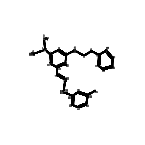 CCCN(CCC)c1cc(OCCc2ccccn2)nc(/C=N/Nc2cccc(C)c2)n1